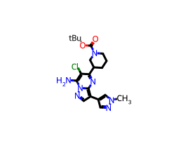 Cn1cc(-c2cnn3c(N)c(Cl)c(C4CCCN(C(=O)OC(C)(C)C)C4)nc23)cn1